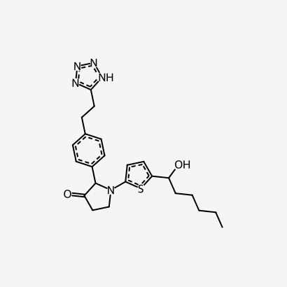 CCCCCC(O)c1ccc(N2CCC(=O)C2c2ccc(CCc3nnn[nH]3)cc2)s1